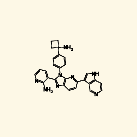 Nc1ncccc1-c1nc2ccc(-c3c[nH]c4ccncc34)nc2n1-c1ccc(C2(N)CCC2)cc1